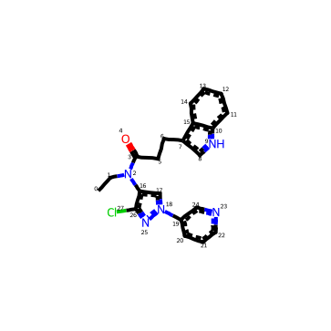 CCN(C(=O)CCc1c[nH]c2ccccc12)c1cn(-c2cccnc2)nc1Cl